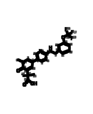 Cn1cc(-c2cnc(NCc3cccc(OC(F)(F)F)c3)nc2)cc(C(C)(C)C(=O)O)c1=O